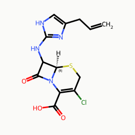 C=CCc1c[nH]c(NC2C(=O)N3C(C(=O)O)=C(Cl)CS[C@H]23)n1